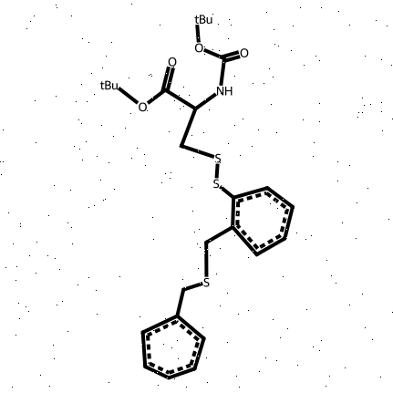 CC(C)(C)OC(=O)NC(CSSc1ccccc1CSCc1ccccc1)C(=O)OC(C)(C)C